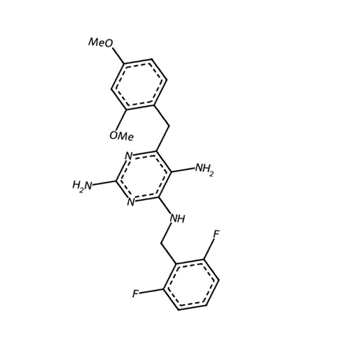 COc1ccc(Cc2nc(N)nc(NCc3c(F)cccc3F)c2N)c(OC)c1